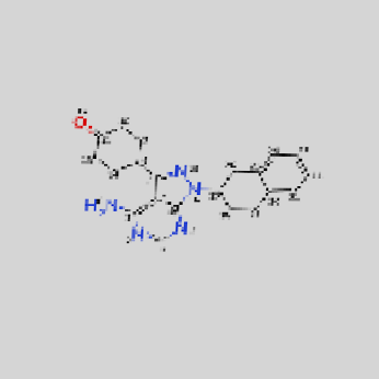 Nc1ncnc2c1c(C1CCC(=O)CC1)nn2C1CCc2ccccc2C1